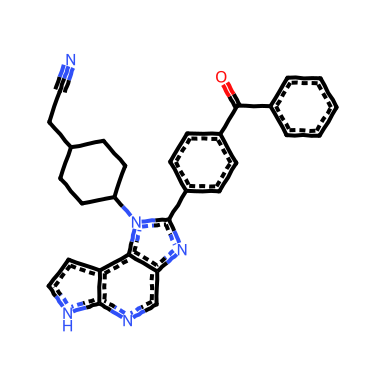 N#CCC1CCC(n2c(-c3ccc(C(=O)c4ccccc4)cc3)nc3cnc4[nH]ccc4c32)CC1